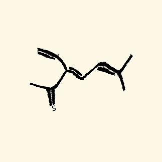 C=C/C(=C\C=C(C)C)C(C)=S